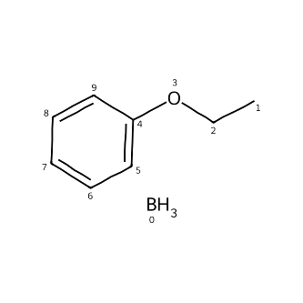 B.CCOc1ccccc1